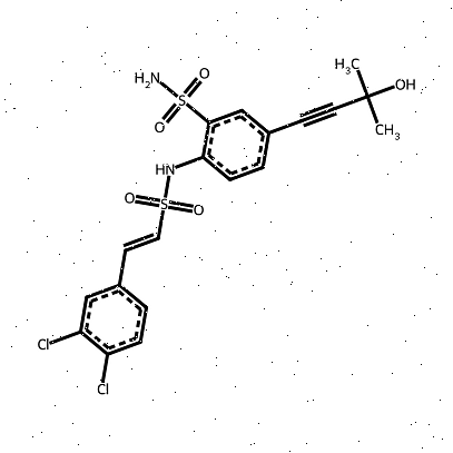 CC(C)(O)C#Cc1ccc(NS(=O)(=O)C=Cc2ccc(Cl)c(Cl)c2)c(S(N)(=O)=O)c1